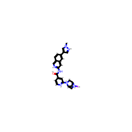 Cn1cc(-c2ccc3cnc(NC(=O)c4ccnc(N5CC6CC5CN6I)c4)cc3c2)cn1